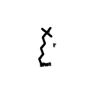 CCCCCCCCCC[N+](C)(C)C.[I-]